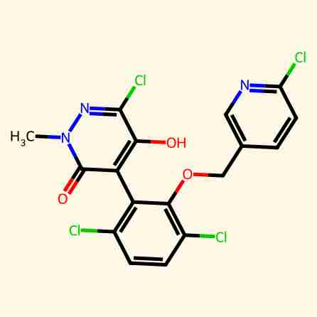 Cn1nc(Cl)c(O)c(-c2c(Cl)ccc(Cl)c2OCc2ccc(Cl)nc2)c1=O